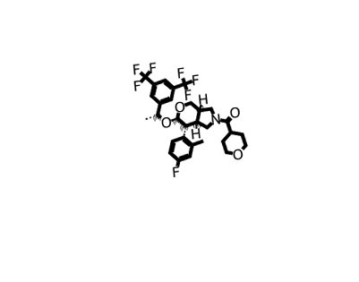 Cc1cc(F)ccc1[C@@H]1[C@@H](O[C@H](C)c2cc(C(F)(F)F)cc(C(F)(F)F)c2)OC[C@@H]2CN(C(=O)C3CCOCC3)C[C@H]21